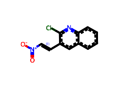 O=[N+]([O-])/C=C/c1cc2ccccc2nc1Cl